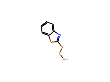 CCC[CH]SSc1nc2ccccc2s1